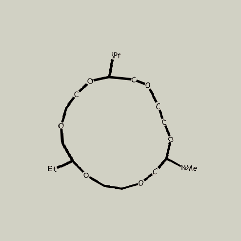 CCC1COCCOC(C(C)C)COCCOC(NC)COCCO1